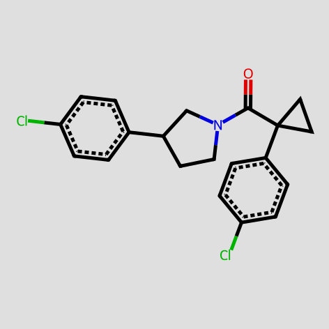 O=C(N1CCC(c2ccc(Cl)cc2)C1)C1(c2ccc(Cl)cc2)CC1